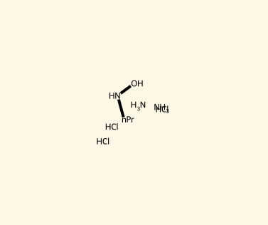 CCCNO.Cl.Cl.Cl.N.N